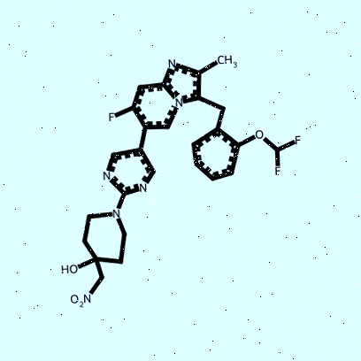 Cc1nc2cc(F)c(-c3cnc(N4CCC(O)(C[N+](=O)[O-])CC4)nc3)cn2c1Cc1ccccc1OC(F)F